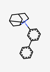 c1ccc(-c2cccc(N3C4CC5CC(C4)CC3C5)c2)cc1